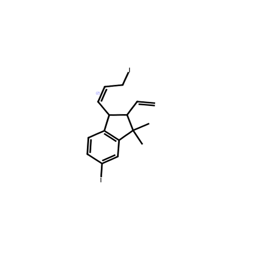 C=CC1C(/C=C\CI)c2ccc(I)cc2C1(C)C